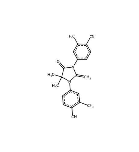 C=C1N(c2ccc(C#N)c(C(F)(F)F)c2)C(=O)C(C)(C)N1c1ccc(C#N)c(C(F)(F)F)c1